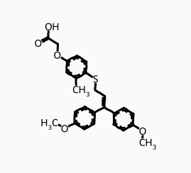 COc1ccc(C(=CCSc2ccc(OCC(=O)O)cc2C)c2ccc(OC)cc2)cc1